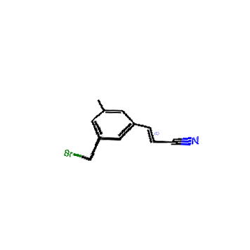 Cc1cc(/C=C/C#N)cc(CBr)c1